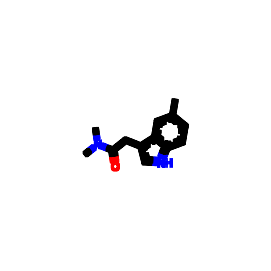 Cc1ccc2[nH]cc(CC(=O)N(C)C)c2c1